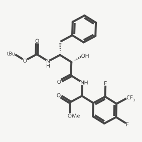 COC(=O)C(NC(=O)[C@@H](O)[C@@H](Cc1ccccc1)NC(=O)OC(C)(C)C)c1ccc(F)c(C(F)(F)F)c1F